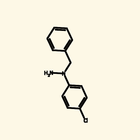 NN(Cc1ccccc1)c1ccc(Cl)cc1